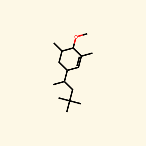 COC1C(C)=CC(C(C)CC(C)(C)C)CC1C